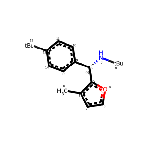 Cc1ccoc1[C@@H](NC(C)(C)C)c1ccc(C(C)(C)C)cc1